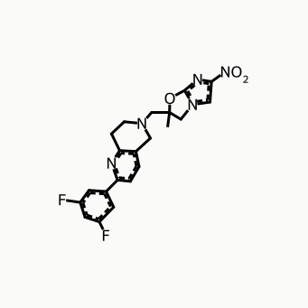 CC1(CN2CCc3nc(-c4cc(F)cc(F)c4)ccc3C2)Cn2cc([N+](=O)[O-])nc2O1